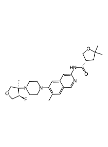 Cc1cc2cnc(NC(=O)[C@@H]3COC(C)(C)C3)cc2cc1N1CCN([C@]2(C)COC[C@@H]2F)CC1